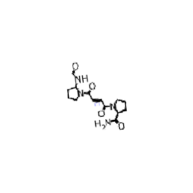 NC(=O)C1CCCN1C(=O)/C=C/C(=O)N1CCCC1NC=O